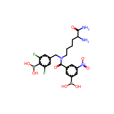 NC(=O)C(N)CCCCN(Cc1cc(F)c(B(O)O)c(F)c1)C(=O)c1cc(B(O)O)cc([N+](=O)[O-])c1